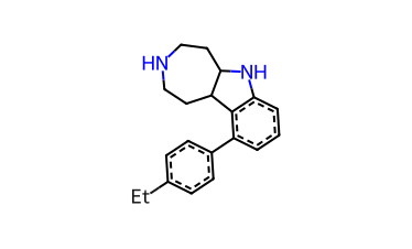 CCc1ccc(-c2cccc3c2C2CCNCCC2N3)cc1